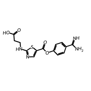 N=C(N)c1ccc(OC(=O)c2cnc(NCCC(=O)O)s2)cc1